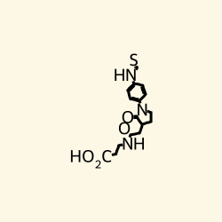 O=C(O)CCNC(=O)CC1CCN(c2ccc(NC=S)cc2)C1=O